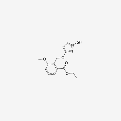 CCOC(=O)c1cccc(OC)c1COc1ccn(S)n1